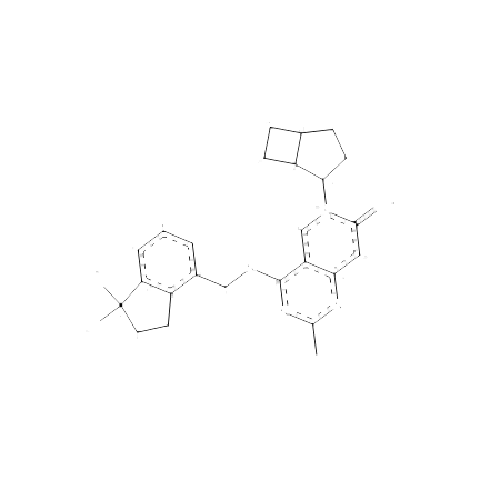 Cc1nc(NCc2cccc3c2CCC3(F)F)c2cn(C3CCC4CCC43)c(=O)cc2n1